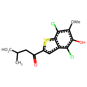 COc1c(O)c(Cl)c2cc(C(=O)CC(C)C(=O)O)sc2c1Cl